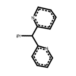 CC(C)C(c1ccccn1)c1ccccn1